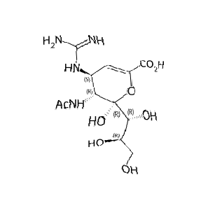 CC(=O)N[C@@H]1[C@@H](NC(=N)N)C=C(C(=O)O)O[C@@]1(O)[C@H](O)[C@H](O)CO